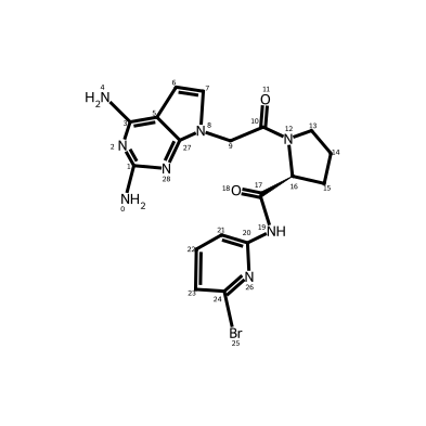 Nc1nc(N)c2ccn(CC(=O)N3CCC[C@H]3C(=O)Nc3cccc(Br)n3)c2n1